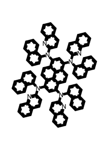 c1ccc2nc(N(c3cccc4ccccc34)c3cc(N(c4ccc5ccccc5n4)c4cccc5ccccc45)c4ccc5c(N(c6ccc7ccccc7n6)c6cccc7ccccc67)cc(N(c6ccc7ccccc7n6)c6cccc7ccccc67)c6ccc3c4c65)ccc2c1